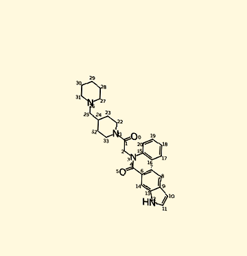 O=C(CN(C(=O)c1ccc2cc[nH]c2c1)c1ccccc1)N1CCC(CN2CCCCC2)CC1